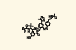 CC(=O)NCCc1ccc(/N=N\c2cc(-c3scnc3C)ccc2CNC(=O)[C@@H]2C[C@@H](O)CN2C(=O)C(NC(=O)C2(F)CC2)C(C)(C)C)cc1